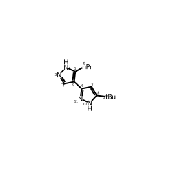 CCCc1[nH]n[c]c1-c1cc(C(C)(C)C)[nH]n1